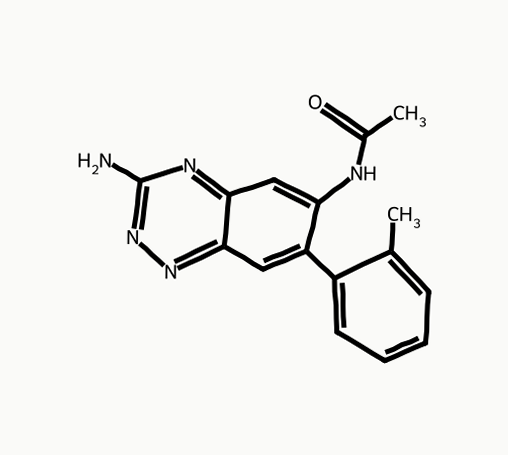 CC(=O)Nc1cc2nc(N)nnc2cc1-c1ccccc1C